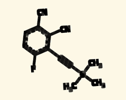 C[Si](C)(C)C#Cc1c(F)ccc(C#N)c1C#N